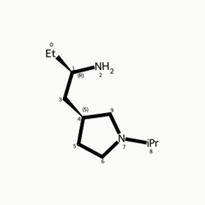 CC[C@@H](N)C[C@@H]1CCN(C(C)C)C1